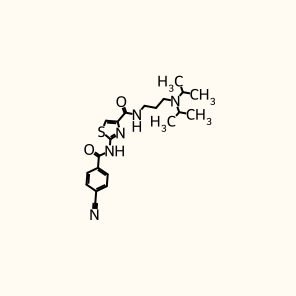 CC(C)N(CCCNC(=O)c1csc(NC(=O)c2ccc(C#N)cc2)n1)C(C)C